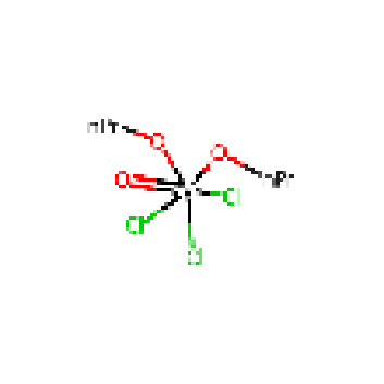 CCC[O][V](=[O])([Cl])([Cl])([Cl])[O]CCC